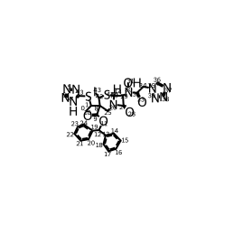 CC(Sc1nnn[nH]1)C1(C(=O)OC(c2ccccc2)c2ccccc2)CN2C(=O)C(N(O)C(=O)Cn3cnnn3)[C@H]2SC1I